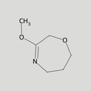 COC1=NCCCOC1